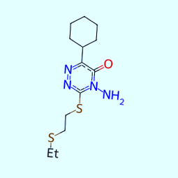 CCSCCSc1nnc(C2CCCCC2)c(=O)n1N